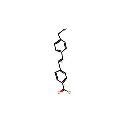 CC(C)Cc1ccc(/C=C/c2ccc(C(=O)Cl)cc2)cc1